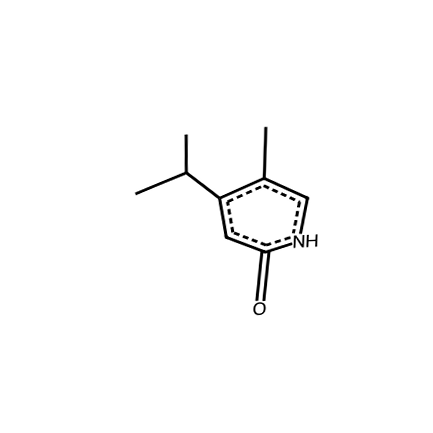 Cc1c[nH]c(=O)cc1C(C)C